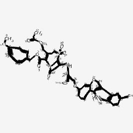 COc1ccc(COC(=O)C2=C(COC(C)=O)CS(=O)(=O)C3C(NC(=O)COc4ccc5c(c4)OCc4c-5[nH]c5ccc(F)cc45)C(=O)N23)cc1